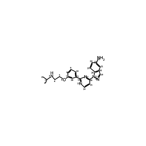 CC(C)NCCOc1cccc(-c2nccc(-n3ncc4cc(N)ccc43)n2)c1